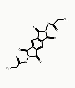 CCC(=O)On1c(=O)c2cc3c(=O)n(OC(=O)CC)c(=O)c3cc2c1=O